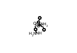 N=C(N)c1ccc(CNC(=O)[C@@H]2CC(c3ccccc3)CN2C(=O)[C@H](N)CCc2ccccc2)cc1